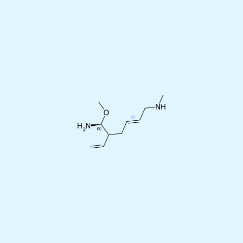 C=CC(C/C=C/CNC)[C@@H](N)OC